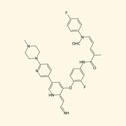 C/C(=C\C=C/N(C=O)c1ccc(F)cc1)C(=O)Nc1ccc(OC2=CC(c3ccc(N4CCN(C)CC4)nc3)=CN/C2=C\C=N)c(F)c1